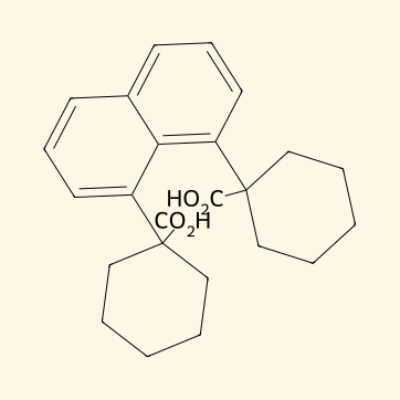 O=C(O)C1(c2cccc3cccc(C4(C(=O)O)CCCCC4)c23)CCCCC1